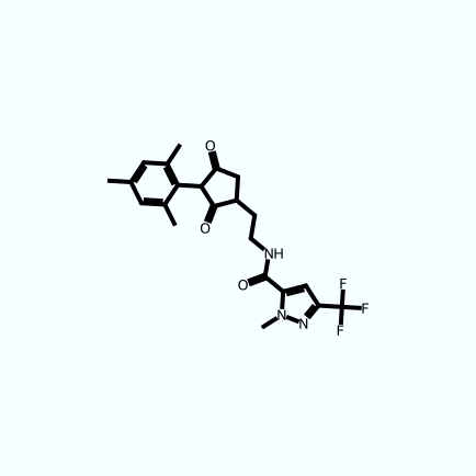 Cc1cc(C)c(C2C(=O)CC(CCNC(=O)c3cc(C(F)(F)F)nn3C)C2=O)c(C)c1